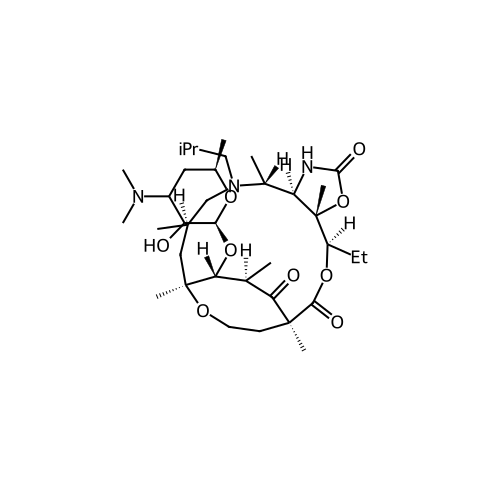 CC[C@H]1OC(=O)[C@@]2(C)CCO[C@@](C)(C[C@@H](C)CN(CC(C)C)[C@H](C)[C@H]3NC(=O)O[C@@]31C)[C@H](O[C@@H]1O[C@H](C)CC(N(C)C)C1O)[C@@H](C)C2=O